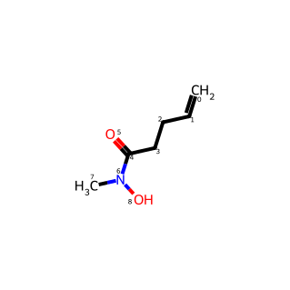 C=CCCC(=O)N(C)O